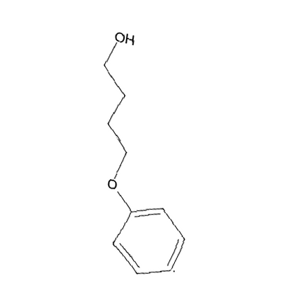 OCCCCOc1cc[c]cc1